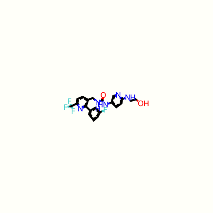 O=C(NCc1ccc(C(F)(F)F)nc1-c1cccc(F)c1)Nc1ccc(NCCO)nc1